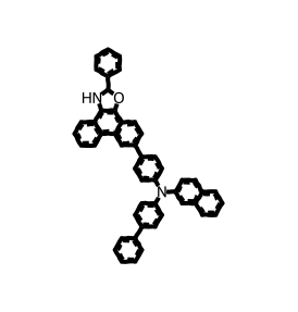 c1ccc(-c2ccc(N(c3ccc(-c4ccc5c6c(c7ccccc7c5c4)NC(c4ccccc4)O6)cc3)c3ccc4ccccc4c3)cc2)cc1